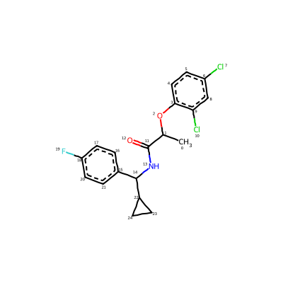 CC(Oc1ccc(Cl)cc1Cl)C(=O)NC(c1ccc(F)cc1)C1CC1